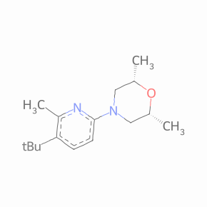 Cc1nc(N2C[C@@H](C)O[C@@H](C)C2)ccc1C(C)(C)C